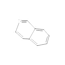 [c]1c[c]c2ccncc2c1